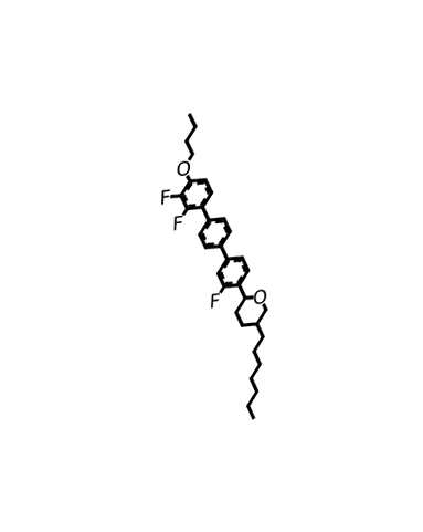 CCCCCCCC1CCC(c2ccc(-c3ccc(-c4ccc(OCCCC)c(F)c4F)cc3)cc2F)OC1